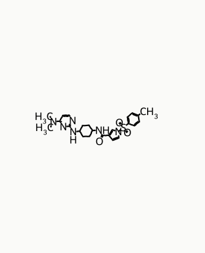 Cc1ccc(S(=O)(=O)n2ccc(C(=O)NC3CCC(Nc4nccc(N(C)C)n4)CC3)c2)cc1